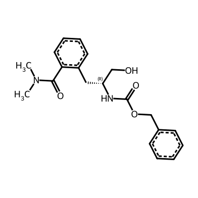 CN(C)C(=O)c1ccccc1C[C@H](CO)NC(=O)OCc1ccccc1